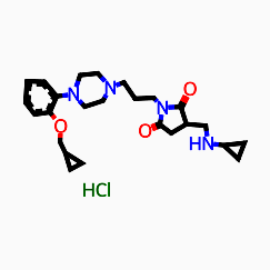 Cl.O=C1CC(CNC2CC2)C(=O)N1CCCN1CCN(c2ccccc2OCC2CC2)CC1